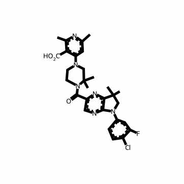 Cc1cc(N2CCN(C(=O)c3cnc4c(n3)C(C)(C)CN4c3ccc(Cl)c(F)c3)C(C)(C)C2)c(C(=O)O)c(C)n1